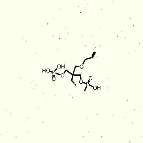 C=CCOCC(CC)(COP(C)(=O)O)COP(=O)(O)O